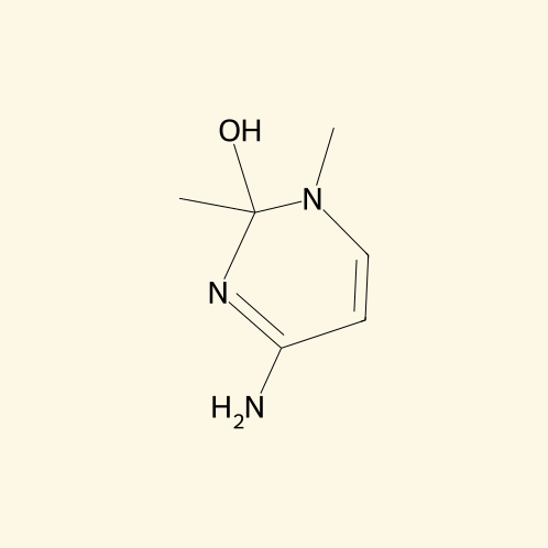 CN1C=CC(N)=NC1(C)O